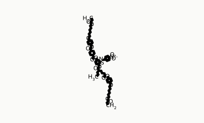 C=CC(=O)OCCCCCCOc1ccc(OC(=O)CCCC(CCC)C(=O)Oc2ccc(OC(=O)C3CCC(C(=O)Oc4ccc(OCCCCCCOC(=O)C=C)cc4)CC3)c3nc(-c4ccc([N+](=O)[O-])cc4)sc23)cc1